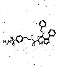 NS(=O)(=O)c1ccc(CCNC(=O)c2nc(NCc3ccccc3)c3c(-c4ccccc4)ccn3n2)cc1